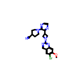 COc1cc2nc(N3CC(c4nccnc4N4CCC(C#N)CC4)C3)ncc2cc1Br